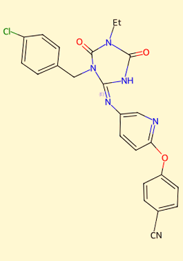 CCn1c(=O)[nH]/c(=N\c2ccc(Oc3ccc(C#N)cc3)nc2)n(Cc2ccc(Cl)cc2)c1=O